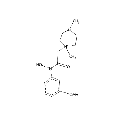 COc1cccc(N(O)C(=O)C[N+]2(C)CCN(C)CC2)c1